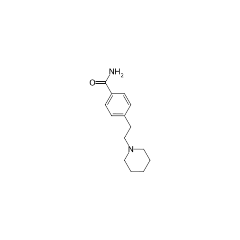 NC(=O)c1ccc(CCN2CCCCC2)cc1